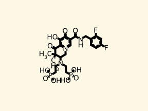 CC1(C)C(=O)c2c(O)c(=O)c(C(=O)NCc3ccc(F)cc3F)cn2CC1N(CCP(=O)(O)O)CCP(=O)(O)O